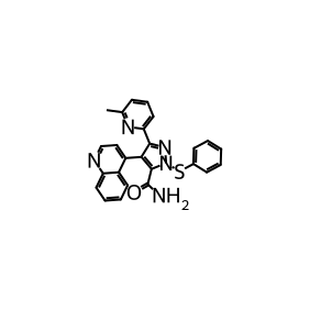 Cc1cccc(-c2nn(Sc3ccccc3)c(C(N)=O)c2-c2ccnc3ccccc23)n1